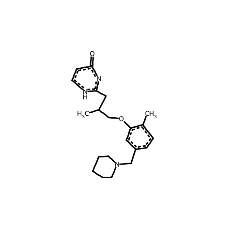 Cc1ccc(CN2CCCCC2)cc1OCC(C)Cc1nc(=O)cc[nH]1